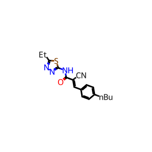 CCCCc1ccc(/C=C(\C#N)C(=O)Nc2nnc(CC)s2)cc1